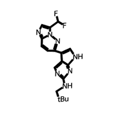 CC(C)(C)CNc1ncc2c(-c3ccc4ncc(C(F)F)n4n3)c[nH]c2n1